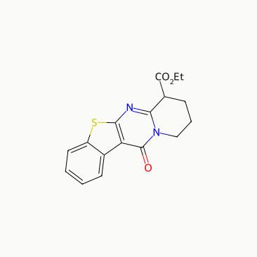 CCOC(=O)C1CCCn2c1nc1sc3ccccc3c1c2=O